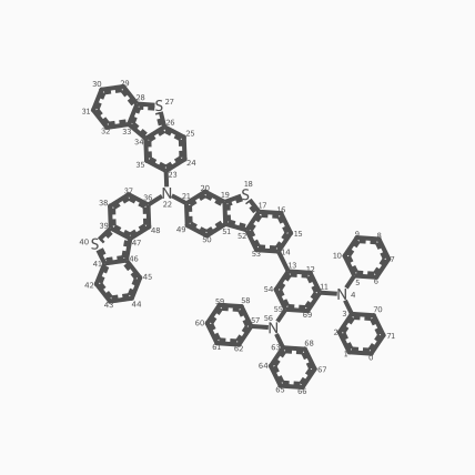 c1ccc(N(c2ccccc2)c2cc(-c3ccc4sc5cc(N(c6ccc7sc8ccccc8c7c6)c6ccc7sc8ccccc8c7c6)ccc5c4c3)cc(N(c3ccccc3)c3ccccc3)c2)cc1